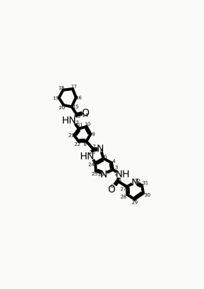 O=C(Nc1cc2nc(-c3ccc(NC(=O)C4CCCCC4)cc3)[nH]c2cn1)c1ccccn1